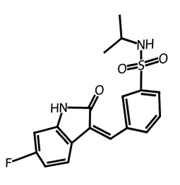 CC(C)NS(=O)(=O)c1cccc(C=C2C(=O)Nc3cc(F)ccc32)c1